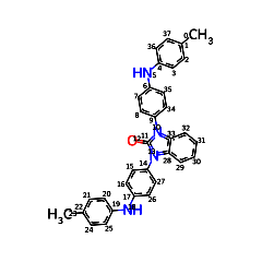 Cc1ccc(Nc2ccc(-n3c(=O)n(-c4ccc(Nc5ccc(C)cc5)cc4)c4ccccc43)cc2)cc1